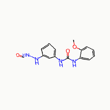 COc1ccccc1NC(=O)Nc1cccc(NNC=O)c1